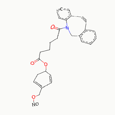 O=NOCC1=CCC(OC(=O)CCCCC(=O)N2Cc3ccccc3C#Cc3ccccc32)C=C1